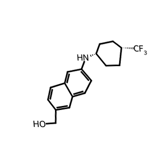 OCc1ccc2cc(N[C@H]3CC[C@@H](C(F)(F)F)CC3)ccc2c1